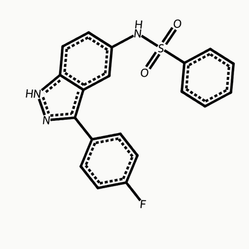 O=S(=O)(Nc1ccc2[nH]nc(-c3ccc(F)cc3)c2c1)c1ccccc1